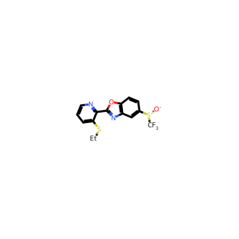 CCSc1cccnc1-c1nc2cc([S+]([O-])C(F)(F)F)ccc2o1